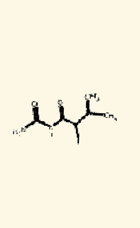 CC(C)C(I)C(=O)NC(N)=O